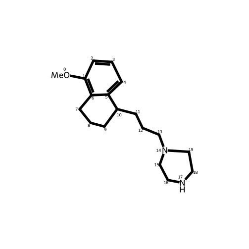 COc1cccc2c1CCCC2CCCN1CCNCC1